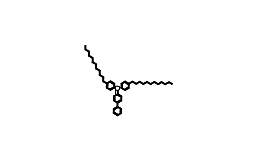 CCCCCCCCCCCCc1ccc(P(c2ccc(CCCCCCCCCCCC)cc2)c2ccc(-c3ccccc3)cc2)cc1